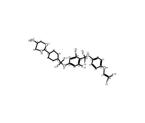 CCCC1COC(C2CCC(C(F)(F)Oc3cc(F)c(C(F)(F)Oc4ccc(OC=C(F)F)cc4)c(F)c3)CC2)OC1